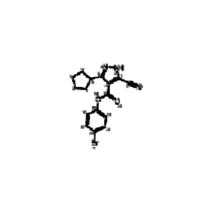 N#Cc1[nH]nc(C2CCCC2)c1C(=O)Oc1ccc(Br)cc1